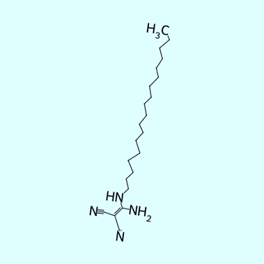 CCCCCCCCCCCCCCCCCCNC(N)=C(C#N)C#N